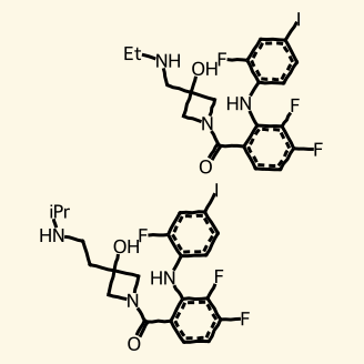 CC(C)NCCC1(O)CN(C(=O)c2ccc(F)c(F)c2Nc2ccc(I)cc2F)C1.CCNCC1(O)CN(C(=O)c2ccc(F)c(F)c2Nc2ccc(I)cc2F)C1